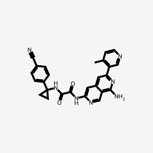 Cc1ccncc1-c1cc2cc(NC(=O)C(=O)NC3(c4ccc(C#N)cc4)CC3)ncc2c(N)n1